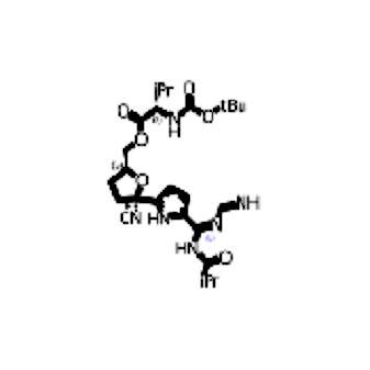 CC(C)C(=O)N/C(=N/C=N)c1ccc([C@@]2(C#N)CC[C@@H](COC(=O)[C@@H](NC(=O)OC(C)(C)C)C(C)C)O2)[nH]1